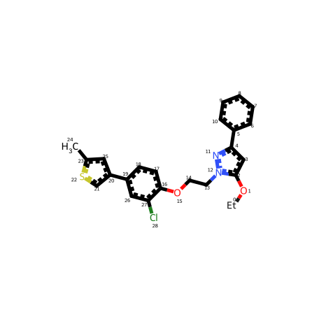 CCOc1cc(-c2ccccc2)nn1CCOc1ccc(-c2csc(C)c2)cc1Cl